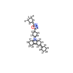 Cc1cc(C)cc(-c2nnc(-c3ccc(-n4c5ccccc5c5cc(-c6ccccc6)ccc54)cc3)o2)c1